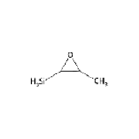 CC1OC1[SiH3]